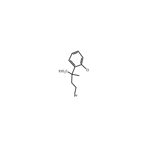 CCOC(=O)C(C)(CCC(C)C)c1ccccc1Cl